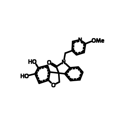 COc1ccc(CN2C(=O)C3(COc4cc(O)c(O)cc43)c3ccccc32)cn1